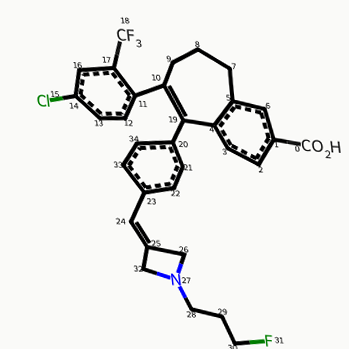 O=C(O)c1ccc2c(c1)CCCC(c1ccc(Cl)cc1C(F)(F)F)=C2c1ccc(C=C2CN(CCCF)C2)cc1